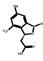 Cc1cc(O)cc2c1[C@H](CC(=O)O)OB2O